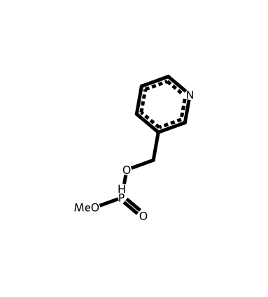 CO[PH](=O)OCc1cccnc1